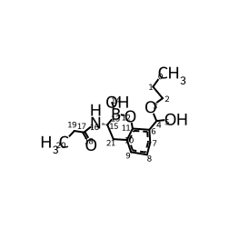 CCCOC(O)c1cccc2c1OB(O)[C@@H](NC(=O)CC)C2